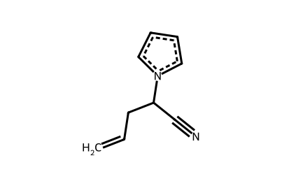 C=CCC(C#N)n1cccc1